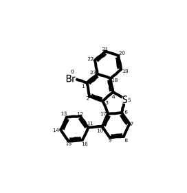 Brc1cc2c(sc3cccc(-c4ccccc4)c32)c2ccccc12